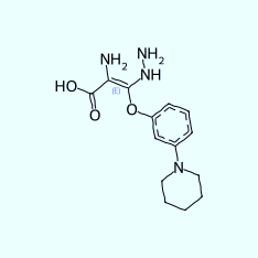 NN/C(Oc1cccc(N2CCCCC2)c1)=C(\N)C(=O)O